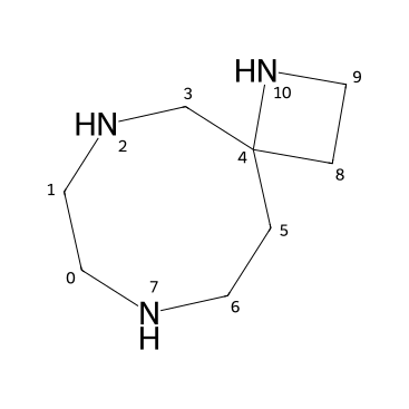 C1CNCC2(CCN1)CCN2